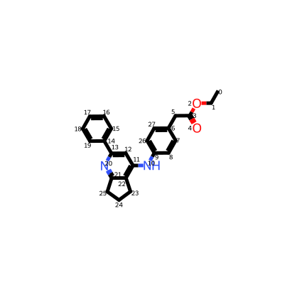 CCOC(=O)Cc1ccc(Nc2cc(-c3ccccc3)nc3c2CCC3)cc1